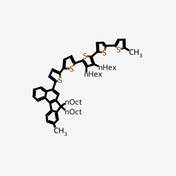 CCCCCCCCC1(CCCCCCCC)c2cc(C)ccc2-c2c1cc(-c1ccc(-c3ccc(-c4sc(-c5ccc(-c6ccc(C)s6)s5)c(CCCCCC)c4CCCCCC)s3)s1)c1ccccc21